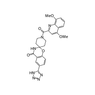 COc1cc(C(=O)N2CCC3(CC2)NC(=O)c2cc(-c4nnn[nH]4)ccc2O3)nc2c(OC)cccc12